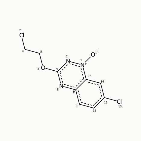 [O-][n+]1nc(OCCCl)nc2ccc(Cl)cc21